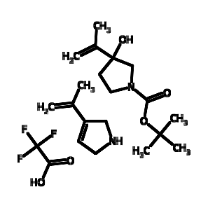 C=C(C)C1(O)CCN(C(=O)OC(C)(C)C)C1.C=C(C)C1=CCNC1.O=C(O)C(F)(F)F